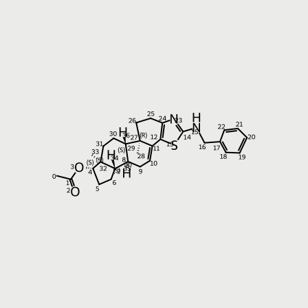 CC(=O)O[C@H]1CC[C@H]2[C@@H]3CC=C4c5sc(NCc6ccccc6)nc5CC[C@]4(C)[C@H]3CC[C@]12C